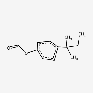 CCC(C)(C)c1ccc(OC=O)cc1